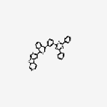 c1ccc(-c2nc(-c3ccccc3)nc(-c3cccc(-c4cnc(-c5cc6c(cn5)oc5cnccc56)c5ccccc45)c3)n2)cc1